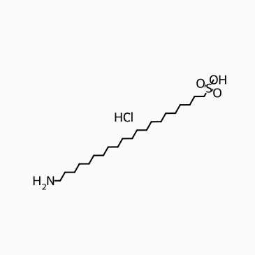 Cl.NCCCCCCCCCCCCCCCCCCCCCS(=O)(=O)O